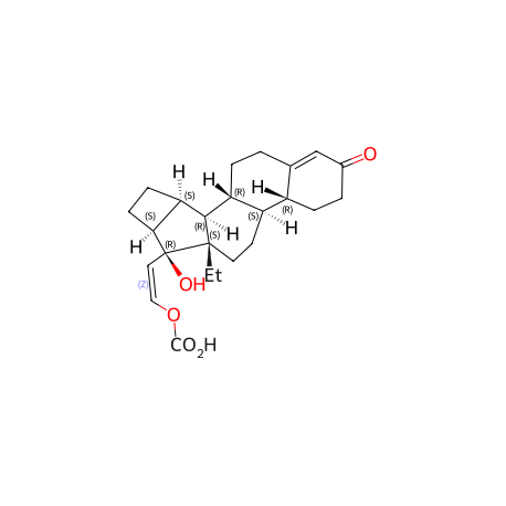 CC[C@]12CC[C@H]3[C@@H](CCC4=CC(=O)CC[C@@H]43)[C@@H]1[C@@H]1CC[C@@H]1[C@@]2(O)/C=C\OC(=O)O